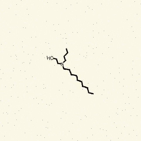 CCCCCCCCCCN(CCO)CCCC